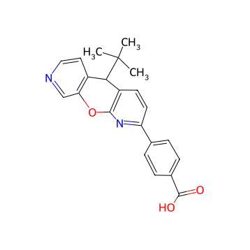 CC(C)(C)C1c2ccncc2Oc2nc(-c3ccc(C(=O)O)cc3)ccc21